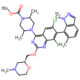 Cc1ccc2cnn(C)c2c1-c1c(Cl)cc2c(N3CC(C)N(C(=O)OC(C)(C)C)CC3C)nc(OC[C@@H]3CN(C)CCO3)nc2c1F